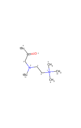 CC(C)(C)C(=O)CN(CC[N+](C)(C)C)C(C)(C)C